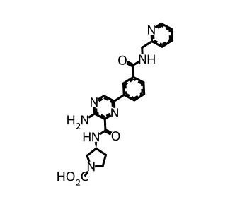 Nc1ncc(-c2cccc(C(=O)NCc3ccccn3)c2)nc1C(=O)N[C@H]1CCN(C(=O)O)C1